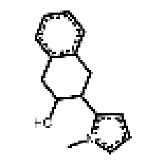 Cn1cccc1C1Cc2ccccc2CC1O